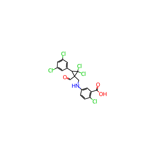 O=CC1(CNc2ccc(Cl)c(C(=O)O)c2)C(c2cc(Cl)cc(Cl)c2)C1(Cl)Cl